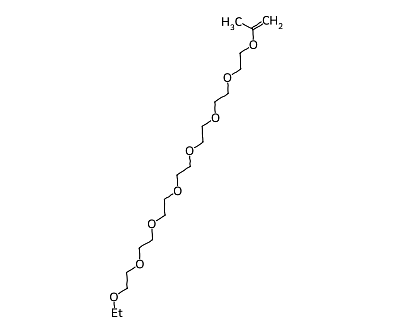 [CH2]COCCOCCOCCOCCOCCOCCOCCOC(=C)C